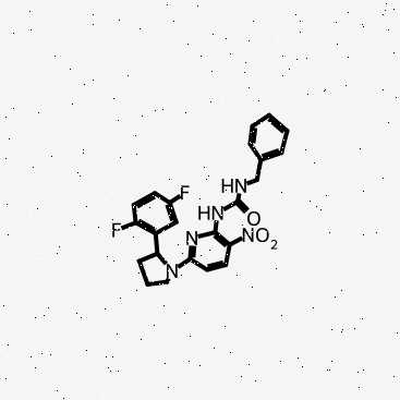 O=C(NCc1ccccc1)Nc1nc(N2CCCC2c2cc(F)ccc2F)ccc1[N+](=O)[O-]